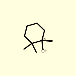 CC1(C)CCCC[C@]1(C)O